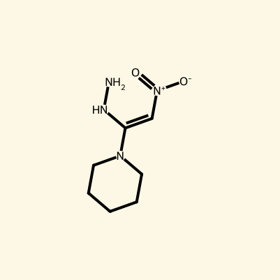 NNC(=C[N+](=O)[O-])N1CCCCC1